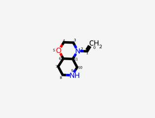 C=CN1CCOC2CCNCC21